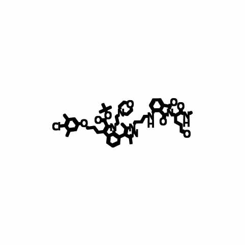 CNC(=O)C(CCC=O)N1C(=O)c2cccc(NCCCn3nc(C)c(-c4cccc5c(CCCOc6cc(C)c(Cl)c(C)c6)c(C(=O)OC(C)(C)C)n(CCN6CCOCC6)c45)c3C)c2C1=O